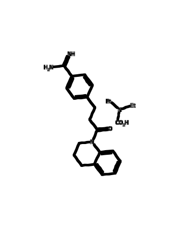 CCN(CC)C(=O)O.N=C(N)c1ccc(CCC(=O)N2CCCc3ccccc32)cc1